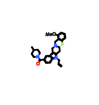 C=CCn1c2c(c3cc(C(=O)N4CCC(C)CC4)ccc31)CN(Cc1c(F)cccc1OC)CC2